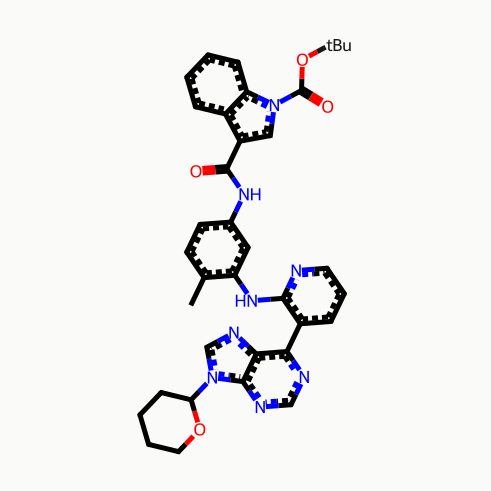 Cc1ccc(NC(=O)c2cn(C(=O)OC(C)(C)C)c3ccccc23)cc1Nc1ncccc1-c1ncnc2c1ncn2C1CCCCO1